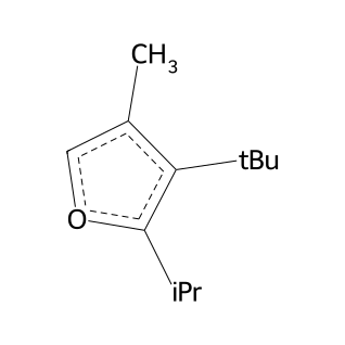 Cc1coc(C(C)C)c1C(C)(C)C